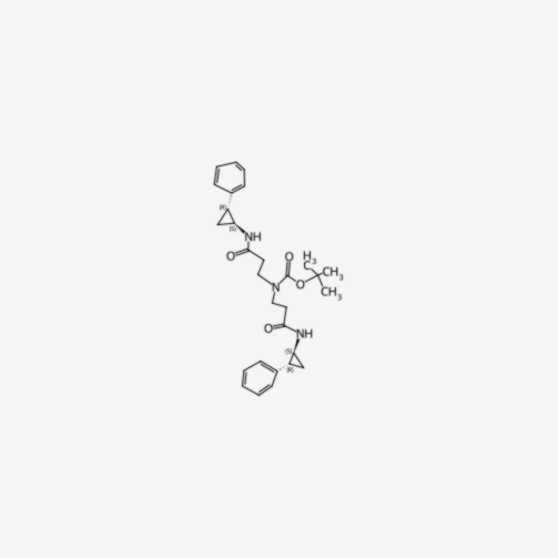 CC(C)(C)OC(=O)N(CCC(=O)N[C@H]1C[C@@H]1c1ccccc1)CCC(=O)N[C@H]1C[C@@H]1c1ccccc1